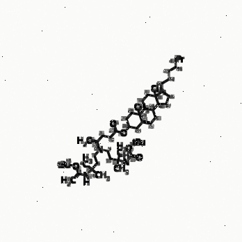 C=C(NC(C)(C)CCN(CCC(C)(C)NC(=O)OC(C)(C)C)C(=C)CCC(=O)OC1CCC2(C)C(=CCC3C2CCC2(C)C(CCCCC(C)C)CCC32)C1)OC(C)(C)C